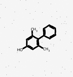 Cc1cc(O)cc(C)c1-c1[c]cccc1